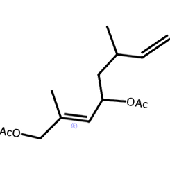 C=CC(C)CC(/C=C(\C)COC(C)=O)OC(C)=O